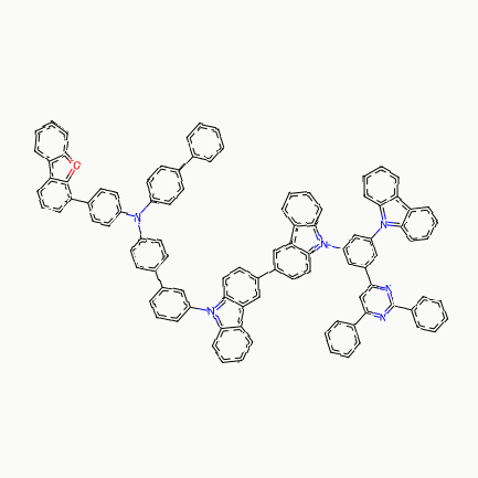 c1ccc(-c2ccc(N(c3ccc(-c4cccc(-n5c6ccccc6c6cc(-c7ccc8c(c7)c7ccccc7n8-c7cc(-c8cc(-c9ccccc9)nc(-c9ccccc9)n8)cc(-n8c9ccccc9c9ccccc98)c7)ccc65)c4)cc3)c3ccc(-c4cccc5c4oc4ccccc45)cc3)cc2)cc1